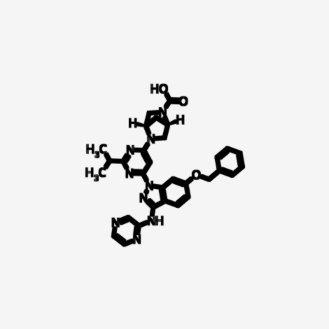 CC(C)c1nc(N2C[C@@H]3C[C@H]2CN3C(=O)O)cc(-n2nc(Nc3cnccn3)c3ccc(OCc4ccccc4)cc32)n1